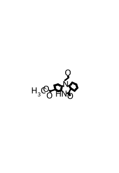 COC(=O)c1ccc2c(c1)NC(=O)c1ccccc1N2CC=O